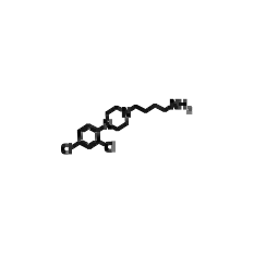 NCCCCN1CCN(c2ccc(Cl)cc2Cl)CC1